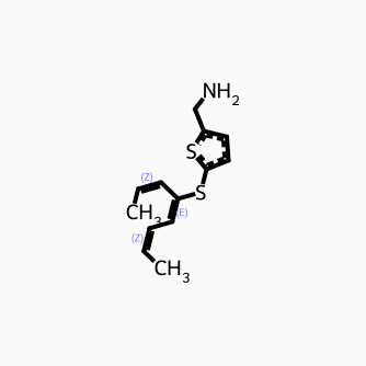 C\C=C/C=C(\C=C/C)Sc1ccc(CN)s1